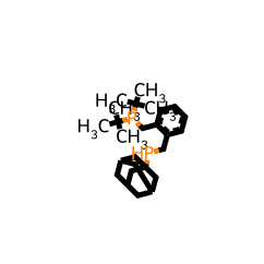 CC(C)(C)P(Cc1ccccc1CPC12CC3CC(CC(C3)C1)C2)C(C)(C)C